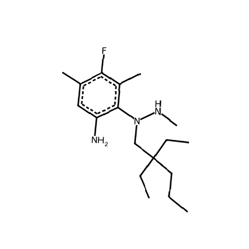 CCCC(CC)(CC)CN(NC)c1c(N)cc(C)c(F)c1C